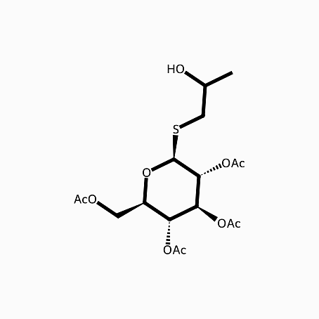 CC(=O)OC[C@H]1O[C@@H](SCC(C)O)[C@H](OC(C)=O)[C@@H](OC(C)=O)[C@@H]1OC(C)=O